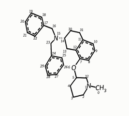 CN1CCCC(Oc2cccc3c2C[C@H](N(Cc2ccccc2)Cc2ccccc2)CC3)C1